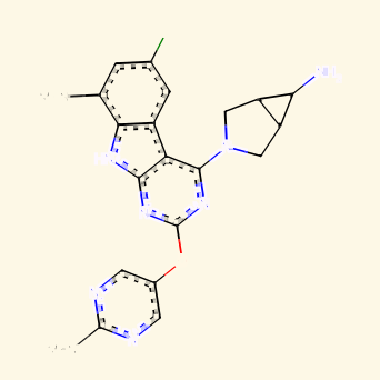 CNc1ncc(Oc2nc(N3CC4C(N)C4C3)c3c(n2)[nH]c2c(NC)cc(F)cc23)cn1